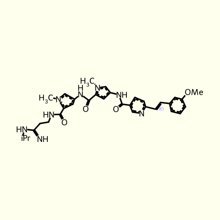 COc1cccc(/C=C/c2ccc(C(=O)Nc3cc(C(=O)Nc4cc(C(=O)NCCC(=N)NC(C)C)n(C)c4)n(C)c3)cn2)c1